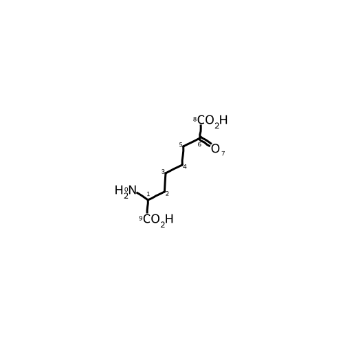 NC(CCCCC(=O)C(=O)O)C(=O)O